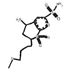 COCCCC1CC(N)c2cc(S(N)(=O)=O)sc2S1(=O)=O